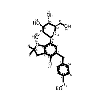 CCOc1ccc(Cc2cc([C@@H]3O[C@H](CO)[C@@H](O)[C@H](O)[C@H]3O)c3c(c2Cl)CC(C)(C)O3)cc1